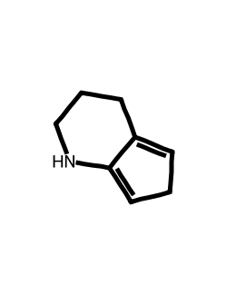 C1=C2CCCNC2=CC1